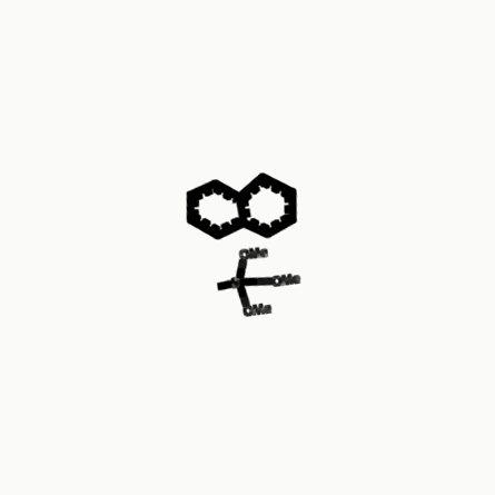 CO[Si](C)(OC)OC.c1ccc2ccccc2c1